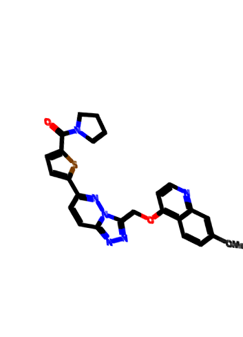 COc1ccc2c(OCc3nnc4ccc(-c5ccc(C(=O)N6CCCC6)s5)nn34)ccnc2c1